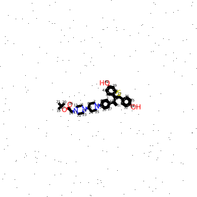 C=C(c1ccc(N2CCC(N3CCN(CC(=O)OC(C)(C)C)CC3)CC2)cc1)c1c(-c2ccc(O)cc2)sc2cc(O)ccc12